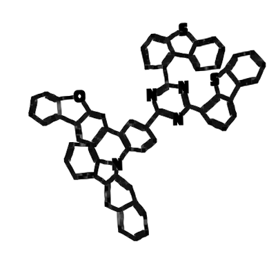 c1ccc2cc3c(cc2c1)c1ccccc1n3-c1ccc(-c2nc(-c3cccc4c3sc3ccccc34)nc(-c3cccc4sc5ccccc5c34)n2)cc1-c1ccc2c(c1)oc1ccccc12